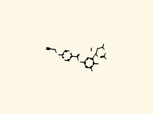 C#CCOc1cnc(C(=O)Nc2cc(F)c(F)c([C@]3(CF)N=C(N)OC(C)[C@H]3C)c2)cn1